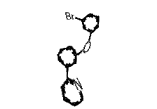 Brc1cccc(Oc2cccc(-c3ccccn3)c2)c1